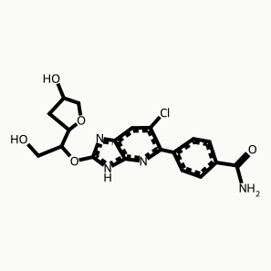 NC(=O)c1ccc(-c2nc3[nH]c(OC(CO)C4CC(O)CO4)nc3cc2Cl)cc1